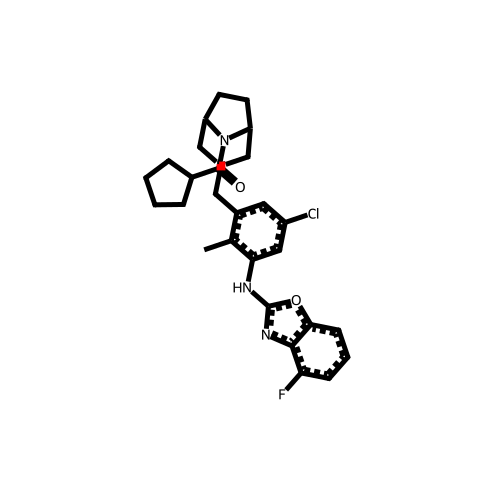 Cc1c(CN2CC3CCC(C2)N3C(=O)C2CCCC2)cc(Cl)cc1Nc1nc2c(F)cccc2o1